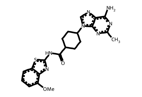 COc1cccc2sc(NC(=O)C3CCC(n4cnc5c(N)nc(C)nc54)CC3)nc12